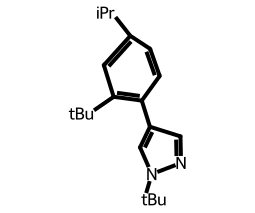 CC(C)c1ccc(-c2cnn(C(C)(C)C)c2)c(C(C)(C)C)c1